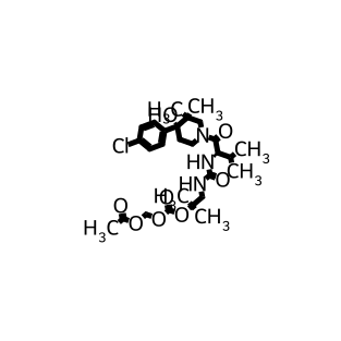 CC(=O)OCOC(=O)OC(C)(C)CNC(=O)N[C@@H](C(=O)N1CC[C@](O)(c2ccc(Cl)cc2)C(C)(C)C1)C(C)C